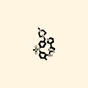 Cc1ccc(N(c2ccc(CN3CCN(C)CC3)cc2)S(C)(=O)=O)cc1Nc1nc(-c2cccnc2)cs1